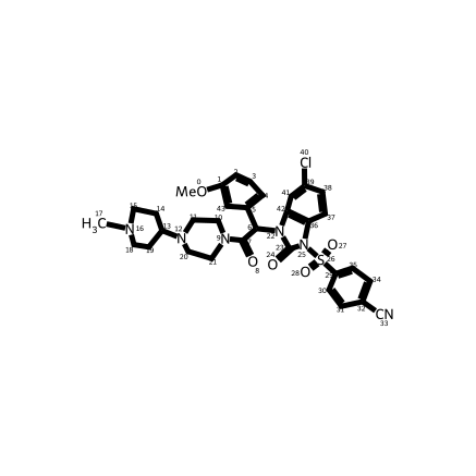 COc1cccc(C(C(=O)N2CCN(C3CCN(C)CC3)CC2)n2c(=O)n(S(=O)(=O)c3ccc(C#N)cc3)c3ccc(Cl)cc32)c1